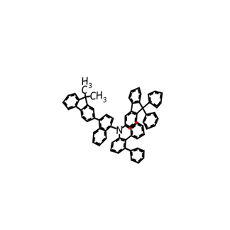 CC1(C)c2ccccc2-c2ccc(-c3ccc(N(c4ccc5c(c4)-c4ccccc4C5(c4ccccc4)c4ccccc4)c4cccc(-c5ccccc5)c4-c4ccccc4)c4ccccc34)cc21